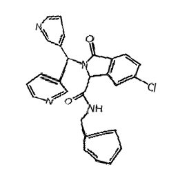 O=C(NCc1ccccc1)C1c2cc(Cl)ccc2C(=O)N1C(c1cccnc1)c1cccnc1